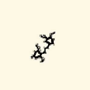 COc1ccc(CCCc2c(OC)cc(C)cc2OC)cc1OC